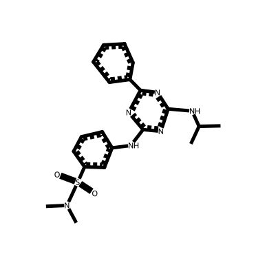 CC(C)Nc1nc(Nc2cccc(S(=O)(=O)N(C)C)c2)nc(-c2ccccc2)n1